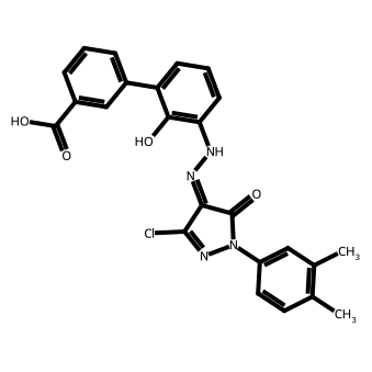 Cc1ccc(N2N=C(Cl)/C(=N/Nc3cccc(-c4cccc(C(=O)O)c4)c3O)C2=O)cc1C